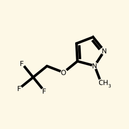 Cn1n[c]cc1OCC(F)(F)F